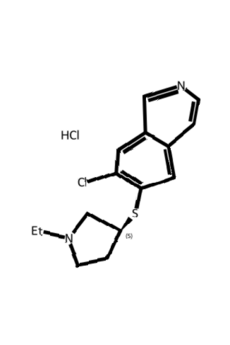 CCN1CC[C@H](Sc2cc3ccncc3cc2Cl)C1.Cl